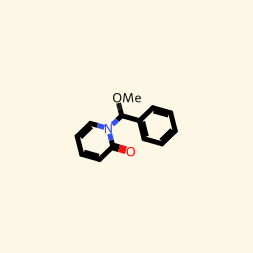 COC(c1ccccc1)n1ccccc1=O